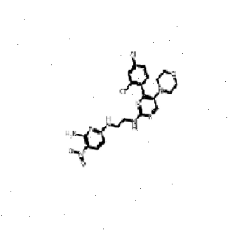 Nc1nc(NCCNc2ncc(N3CCOCC3)c(-c3ccc(Cl)cc3Cl)n2)ccc1[N+](=O)[O-]